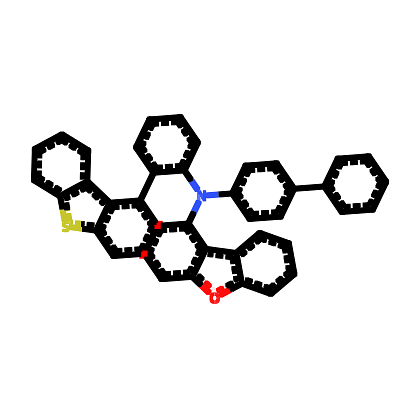 c1ccc(-c2ccc(N(c3ccccc3-c3cccc4sc5ccccc5c34)c3cccc4oc5ccccc5c34)cc2)cc1